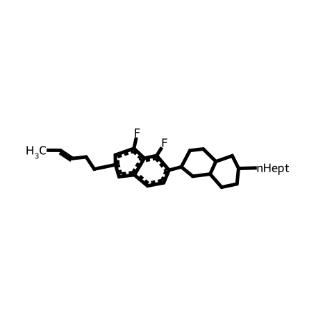 CC=CCCc1cc(F)c2c(F)c(C3CCC4CC(CCCCCCC)CCC4C3)ccc2c1